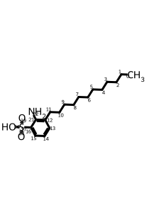 CCCCCCCCCCCCc1cccc(S(=O)(=O)O)c1N